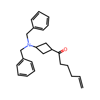 C=CCCCC(=O)C1CC(N(Cc2ccccc2)Cc2ccccc2)C1